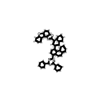 c1ccc(-c2nc(-c3ccccc3)nc(-c3ccc(-c4cc(-c5nc6c(ccc7oc8ccccc8c76)o5)c5ccccc5c4)c4c3ccc3ccccc34)n2)cc1